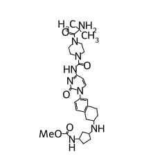 COC(=O)NC1CCC(NC2CCc3cc(-n4ccc(NC(=O)N5CCN(C(=O)C(C)(C)N)CC5)nc4=O)ccc3C2)C1